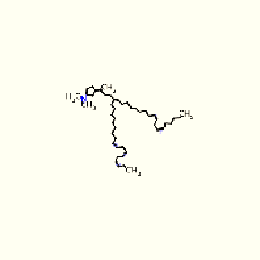 C=C(CCC(CCCCCCCC/C=C\C/C=C\C/C=C\CC)CCCCCCCC/C=C\C/C=C\CCCCC)C1CCC(N(C)C)C1